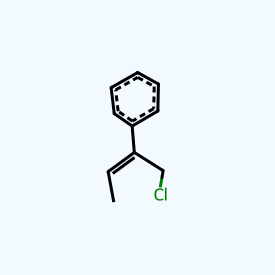 CC=C(CCl)c1ccccc1